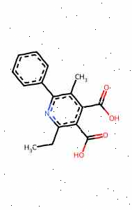 CCc1nc(-c2ccccc2)c(C)c(C(=O)O)c1C(=O)O